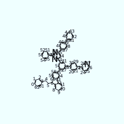 c1ccc(CCC2c3ccccc3-c3cc(-c4cc(-c5ccc(-c6cccnc6)cc5)cc(-c5cc(-c6ccc(-c7ccccc7)cc6)nc(-c6ccccc6)n5)c4)ccc32)cc1